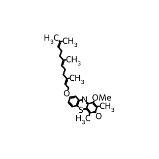 COc1c2nc3cc(OC/C=C(\C)CC/C=C(\C)CCC=C(C)C)ccc3sc-2c(C)c(=O)c1C